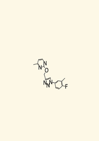 Cc1ccnc(OCc2cn(-c3ccc(F)c(C)c3)nn2)n1